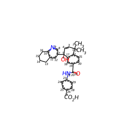 CC1(C)C=CC(O)(c2cnc3c(c2)CCCC3)c2cc(C(=O)Nc3ccc(C(=O)O)cc3)ccc21